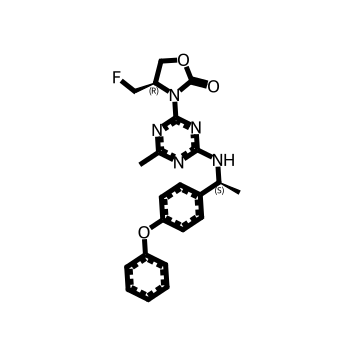 Cc1nc(N[C@@H](C)c2ccc(Oc3ccccc3)cc2)nc(N2C(=O)OC[C@@H]2CF)n1